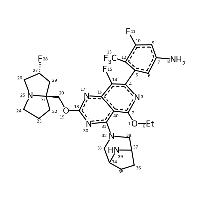 CCOc1nc(-c2cc(N)cc(F)c2C(F)(F)F)c(F)c2nc(OC[C@@]34CCCN3C[C@H](F)C4)nc(N3CC4CCC(C3)N4)c12